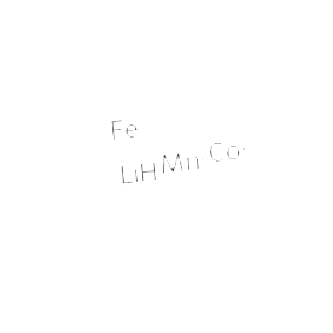 [Co].[Fe].[LiH].[Mn]